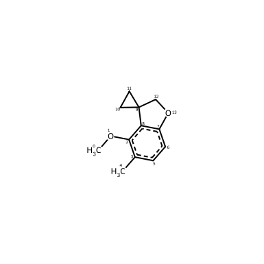 COc1c(C)ccc2c1C1(CC1)CO2